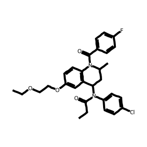 CCOCCOc1ccc2c(c1)C(N(C(=O)CC)c1ccc(Cl)cc1)CC(C)N2C(=O)c1ccc(F)cc1